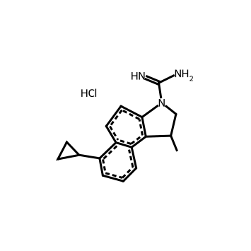 CC1CN(C(=N)N)c2ccc3c(C4CC4)cccc3c21.Cl